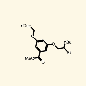 CCCCCCCCCCCOc1cc(OCC(CC)CCCC)cc(C(=O)OC)c1